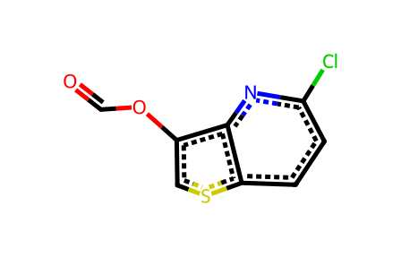 O=COc1csc2ccc(Cl)nc12